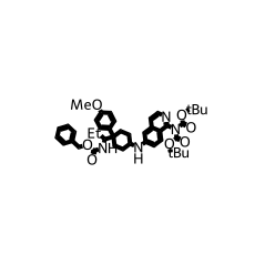 CCC(NC(=O)OCc1ccccc1)C1(c2ccc(OC)cc2)CCC(Nc2ccc3c(N(C(=O)OC(C)(C)C)C(=O)OC(C)(C)C)nccc3c2)CC1